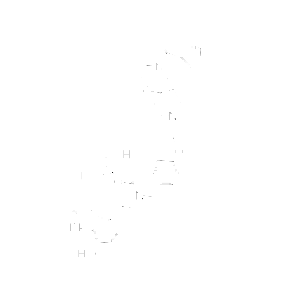 Cc1cc(C(=O)N2CCOC3(CCN(CCOc4ccc(CN(CCc5ccc(O)c6[nH]c(=O)sc56)C(=O)OC(C)(C)C)c(O)c4)CC3)C2)cs1